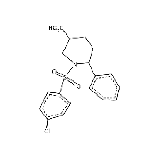 O=C(O)C1CCC(c2ccccc2)N(S(=O)(=O)c2ccc(Cl)cc2)C1